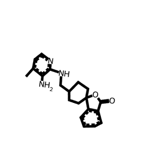 Cc1ccnc(NCC2CCC3(CC2)OC(=O)c2ccccc23)c1N